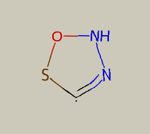 [C]1=NNOS1